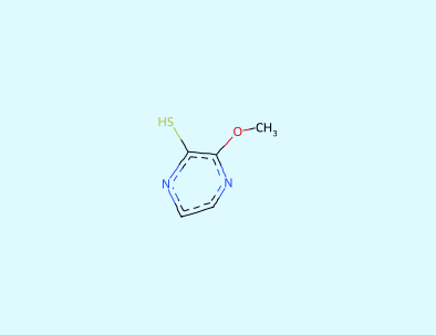 COc1nccnc1S